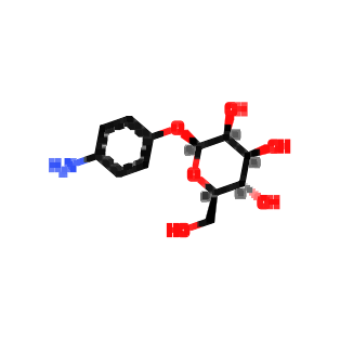 Nc1ccc(O[C@@H]2O[C@H](CO)[C@@H](O)[C@H](O)[C@@H]2O)cc1